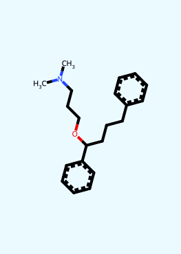 CN(C)CCCOC(CCCc1ccccc1)c1ccccc1